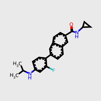 CC(C)Nc1ccc(-c2ccc3cc(C(=O)NC4CC4)ccc3c2)c(F)c1